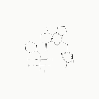 CN1CN([C@H]2CCCC[C@@H]2O[Si](C)(C)C(C)(C)C)C(=O)c2cc(Cc3ccc(Cl)nc3)c3c(c21)CCC3